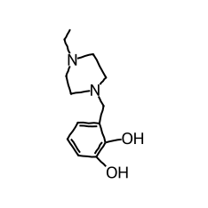 CCN1CCN(Cc2cccc(O)c2O)CC1